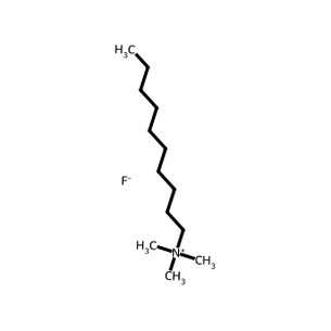 CCCCCCCCCC[N+](C)(C)C.[F-]